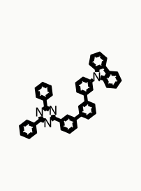 c1ccc(-c2nc(-c3ccccc3)nc(-c3cccc(-c4cccc(-c5cccc(-n6c7ccccc7c7ccccc76)c5)c4)c3)n2)cc1